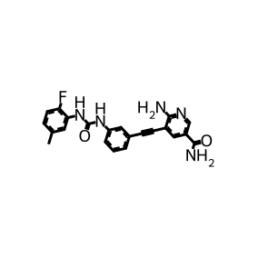 Cc1ccc(F)c(NC(=O)Nc2cccc(C#Cc3cc(C(N)=O)cnc3N)c2)c1